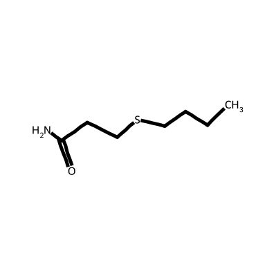 CCCCSCCC(N)=O